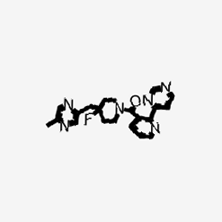 Cc1cnc(CC2(F)CCN(C(=O)c3cccnc3-c3ccncn3)CC2)cn1